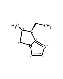 CC[C@H]1c2nccn2C[C@H]1C